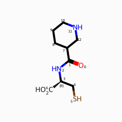 O=C(N[C@@H](CS)C(=O)O)C1CCCNC1